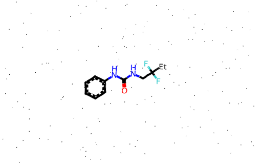 CCC(F)(F)CNC(=O)Nc1ccccc1